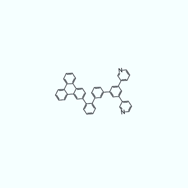 c1cncc(-c2cc(-c3cccnc3)cc(-c3cccc(-c4ccccc4-c4ccc5c6ccccc6c6ccccc6c5c4)c3)c2)c1